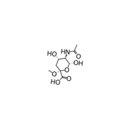 CO[C@]1(C(=O)O)C[C@H](O)[C@@H](NC(C)=O)[C@H](O)O1